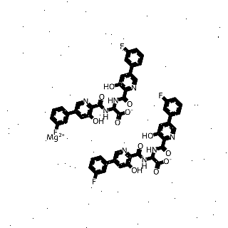 O=C(NC(NC(=O)c1ncc(-c2cccc(F)c2)cc1O)C(=O)[O-])c1ncc(-c2cccc(F)c2)cc1O.O=C(NC(NC(=O)c1ncc(-c2cccc(F)c2)cc1O)C(=O)[O-])c1ncc(-c2cccc(F)c2)cc1O.[Mg+2]